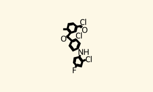 Cc1ccc(C(=O)Cl)cc1C(=O)c1ccc(Nc2ccc(F)cc2Cl)cc1Cl